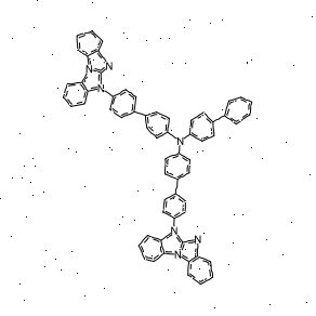 c1ccc(-c2ccc(N(c3ccc(-c4ccc(-n5c6ccccc6n6c7ccccc7nc56)cc4)cc3)c3ccc(-c4ccc(-n5c6ccccc6n6c7ccccc7nc56)cc4)cc3)cc2)cc1